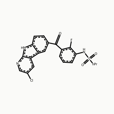 CCCS(=O)(=O)Nc1cccc(C(=O)c2ccc3[nH]c4ncc(Cl)cc4c3c2)c1F